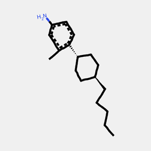 CCCCC[C@H]1CC[C@H](c2ccc(N)cc2C)CC1